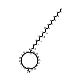 [CH2]CCCCCCCCCCCCCCCCCCCOC1CCCCCCCCC([O])CCCCCCCC1